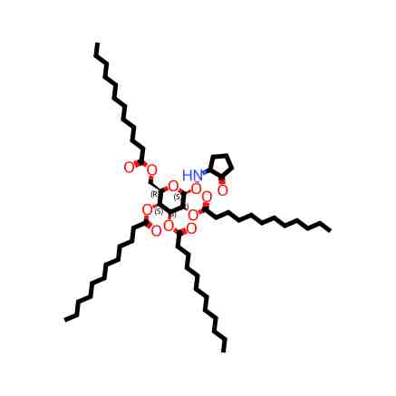 CCCCCCCCCCCC(=O)OC[C@H]1O[C@@H](ONC2CCCC2=O)[C@H](OC(=O)CCCCCCCCCCC)[C@@H](OC(=O)CCCCCCCCCCC)[C@H]1OC(=O)CCCCCCCCCCC